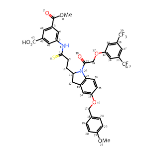 COC(=O)c1cc(NC(=S)CCC2Cc3cc(OCc4ccc(OC)cc4)ccc3N2C(=O)COc2cc(C(F)(F)F)cc(C(F)(F)F)c2)cc(C(=O)O)c1